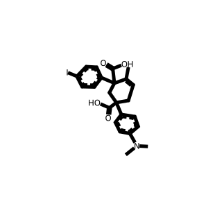 CC1=CCC(C(=O)O)(c2ccc(N(C)C)cc2)CC1(C(=O)O)c1ccc(I)cc1